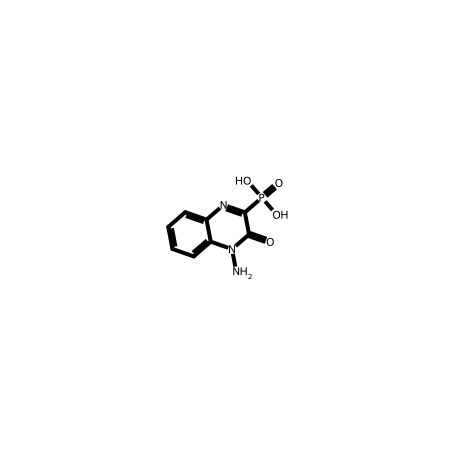 Nn1c(=O)c(P(=O)(O)O)nc2ccccc21